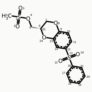 CS(=O)(=O)OC[C@@H]1COc2ccc(S(=O)(=O)c3ccccc3)cc2O1